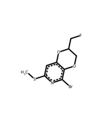 CSc1cc2c(c(Br)n1)OCC(CF)O2